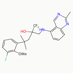 COc1c(F)cccc1C(C)(C)CC(O)(CNc1cccc2nc(C)ncc12)C(F)(F)F